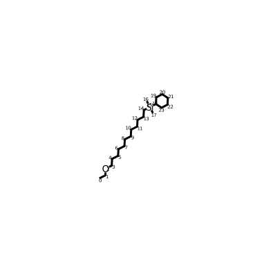 CCOCCCCCCCCCCCC[Si](C)(C)C1CCCCC1